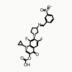 O=C(O)Oc1cn(C2CC2)c2c(F)c(N3CCC(N=Cc4cccc([N+](=O)[O-])c4)C3)c(F)cc2c1=O